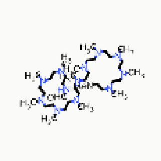 CNCCN(C)CCN(C)CCN(C)CCN(C)CCN(C)CCN(C)CCN(C)CCN(C)CCN(C)CCN(C)CCN(C)CCNC=O